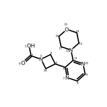 O=C(O)N1CC(c2nccnc2N2CCOCC2)C1